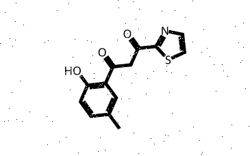 Cc1ccc(O)c(C(=O)CC(=O)c2nccs2)c1